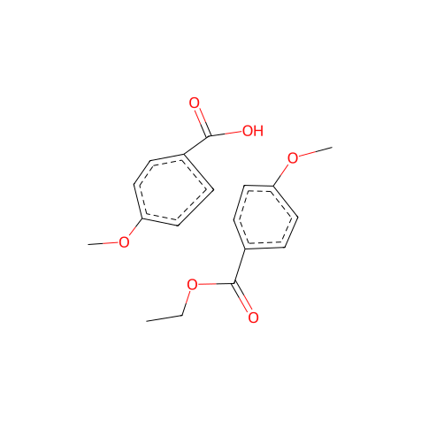 CCOC(=O)c1ccc(OC)cc1.COc1ccc(C(=O)O)cc1